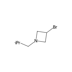 C[C](C)CN1CC(Br)C1